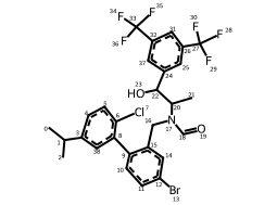 CC(C)c1ccc(Cl)c(-c2ccc(Br)cc2CN(C=O)C(C)C(O)c2cc(C(F)(F)F)cc(C(F)(F)F)c2)c1